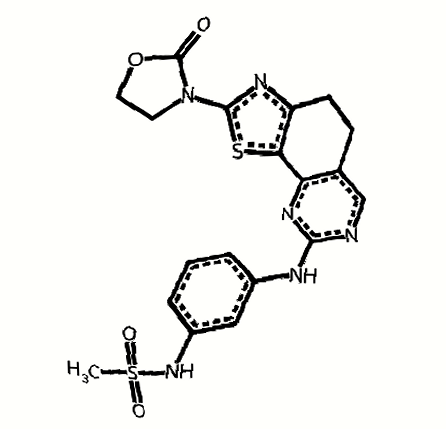 CS(=O)(=O)Nc1cccc(Nc2ncc3c(n2)-c2sc(N4CCOC4=O)nc2CC3)c1